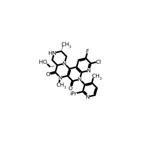 Cc1ccnc(C(C)C)c1-n1c(=O)c2c(c3cc(F)c(Cl)nc31)N1C[C@@H](C)NC[C@]1(CO)C(=O)N2C